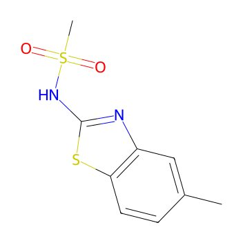 Cc1ccc2sc(NS(C)(=O)=O)nc2c1